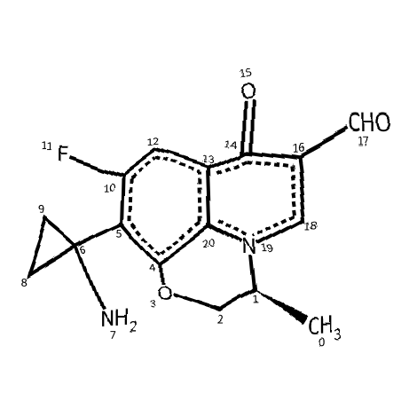 C[C@H]1COc2c(C3(N)CC3)c(F)cc3c(=O)c(C=O)cn1c23